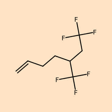 C=CCCC(CC(F)(F)F)C(F)(F)F